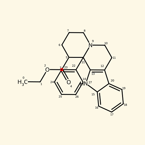 CCOC(=O)C1CCCN2CCc3c([nH]c4ccccc34)C12c1ccccc1